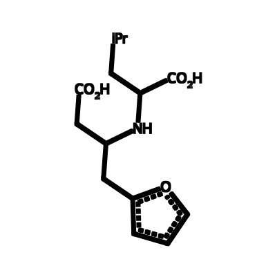 CC(C)CC(NC(CC(=O)O)Cc1ccco1)C(=O)O